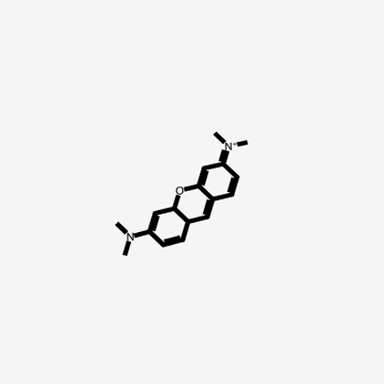 CN(C)C1=CC2OC3=CC(=[N+](C)C)C=CC3=CC2C=C1